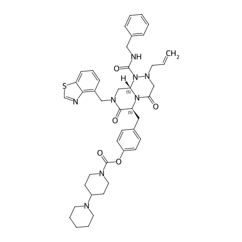 C=CCN1CC(=O)N2[C@@H](Cc3ccc(OC(=O)N4CCC(N5CCCCC5)CC4)cc3)C(=O)N(Cc3cccc4scnc34)C[C@@H]2N1C(=O)NCc1ccccc1